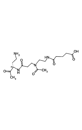 CC(=O)[C@H](CCN)NC(=O)CCN(CCNC(=O)CCCC(=O)O)C(C)=O